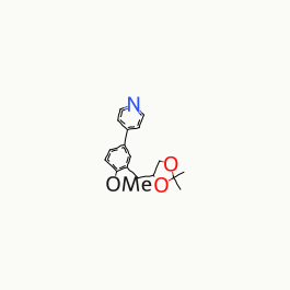 COc1ccc(-c2ccncc2)cc1CC1COC(C)(C)O1